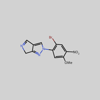 COc1cc(-n2cc3c(n2)CN=C3)c(Br)cc1[N+](=O)[O-]